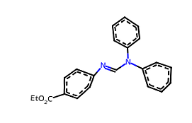 CCOC(=O)c1ccc(/N=C/N(c2ccccc2)c2ccccc2)cc1